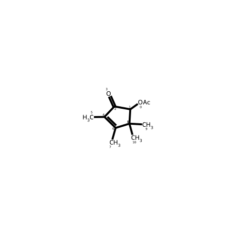 CC(=O)OC1C(=O)C(C)=C(C)C1(C)C